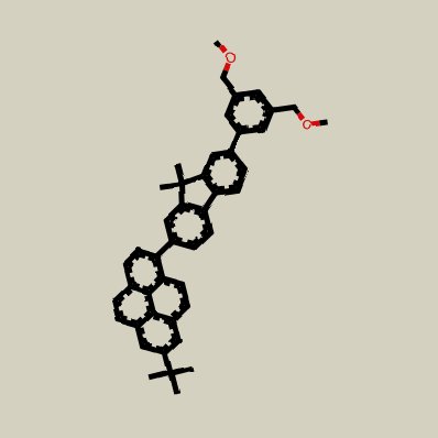 COCc1cc(COC)cc(-c2ccc3c(c2)C(C)(C)c2cc(-c4ccc5ccc6cc(C(C)(C)C)cc7ccc4c5c67)ccc2-3)c1